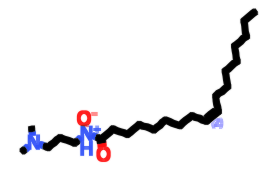 CCCCCCCC/C=C\CCCCCCCC(=O)[NH+]([O-])CCCN(C)C